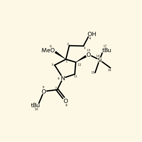 CO[C@]1(CCO)CN(C(=O)OC(C)(C)C)C[C@@H]1O[Si](C)(C)C(C)(C)C